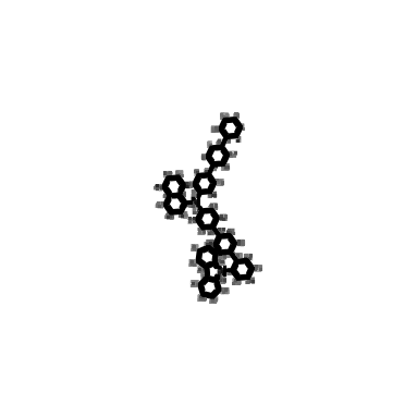 c1ccc(-c2ccc(-c3ccc(N(c4ccc(-c5ccc(-c6ccccc6-n6c7ccccc7c7ccccc76)cc5)cc4)c4cccc5ccccc45)cc3)cc2)cc1